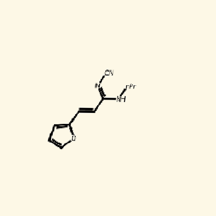 CCCNC(C=Cc1ccco1)=NC#N